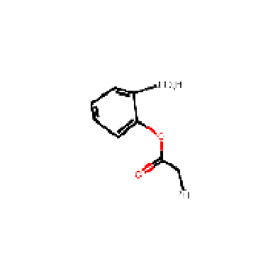 [2H]CC(=O)Oc1ccccc1C(=O)O